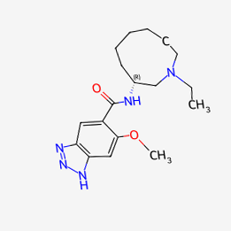 CCN1CCCCCC[C@@H](NC(=O)c2cc3nn[nH]c3cc2OC)C1